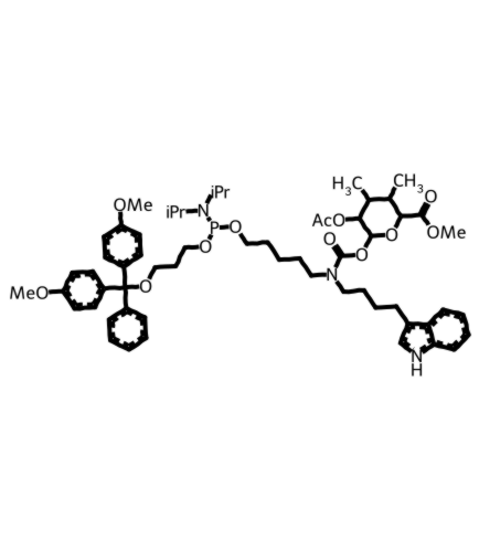 COC(=O)C1OC(OC(=O)N(CCCCCOP(OCCCOC(c2ccccc2)(c2ccc(OC)cc2)c2ccc(OC)cc2)N(C(C)C)C(C)C)CCCCc2c[nH]c3ccccc23)C(OC(C)=O)C(C)C1C